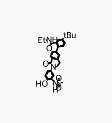 CCNC(=O)c1cc(C(C)(C)C)ccc1-c1ccc2c(c1)CCN(c1ccc(O)c(NS(C)(=O)=O)c1)C2=O